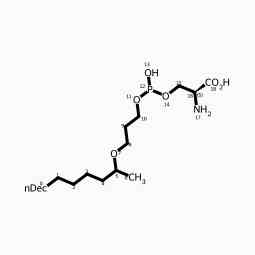 CCCCCCCCCCCCCCC(C)OCCCOP(O)OC[C@H](N)C(=O)O